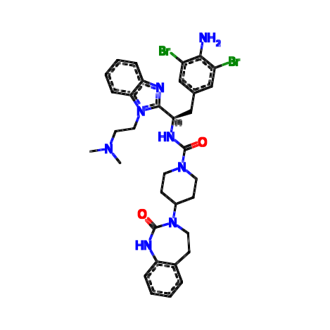 CN(C)CCn1c([C@@H](Cc2cc(Br)c(N)c(Br)c2)NC(=O)N2CCC(N3CCc4ccccc4NC3=O)CC2)nc2ccccc21